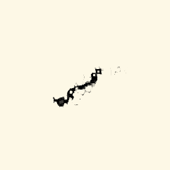 CC(=O)Nc1ccc(-c2ccc(OCC(=O)Nc3ccc(CN4CCN(C)CC4)c(C(F)(F)F)c3)cc2)cn1